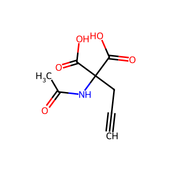 C#CCC(NC(C)=O)(C(=O)O)C(=O)O